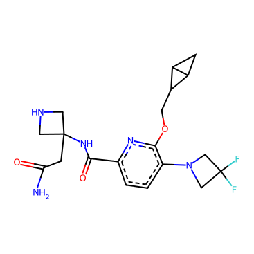 NC(=O)CC1(NC(=O)c2ccc(N3CC(F)(F)C3)c(OCC3C4CC34)n2)CNC1